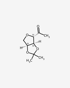 CC(=O)[C@H]1OC[C@@H]2OC(C)(C)O[C@@H]21